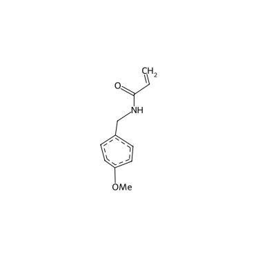 C=CC(=O)NCc1ccc(OC)cc1